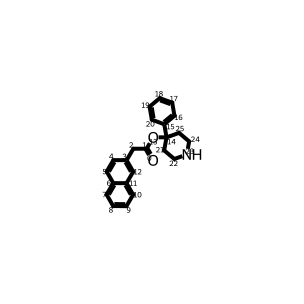 O=C(Cc1ccc2ccccc2c1)OC1(c2ccccc2)CCNCC1